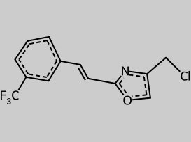 FC(F)(F)c1cccc(C=Cc2nc(CCl)co2)c1